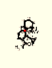 CO[C@@]1(c2cccc(C(N)=O)c2)[C@@H]2CCC[C@H]1CN(CC1CC1)C2